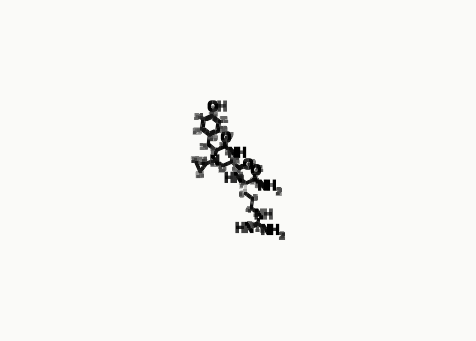 N=C(N)NCCC[C@H](NC(=O)[C@H]1CN(C2CC2)[C@@H](Cc2ccc(O)cc2)C(=O)N1)C(N)=O